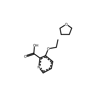 C1CCOC1.CCOc1cccnc1C(=O)O